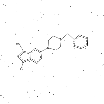 Sc1nn(Cl)c2ccc(N3CCN(Cc4ccccc4)CC3)cc12